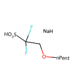 CCCCCOCC(F)(F)S(=O)(=O)O.[NaH]